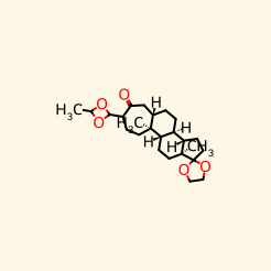 CC1OC(C2CC[C@@]3(C)[C@@H](CC[C@@H]4[C@@H]3CC[C@@]3(C)[C@H]4CCC34OCCO4)CC2=O)O1